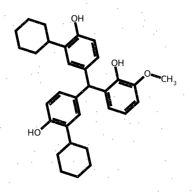 COc1cccc(C(c2ccc(O)c(C3CCCCC3)c2)c2ccc(O)c(C3CCCCC3)c2)c1O